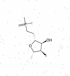 C=P(C)(C)CC[C@H]1O[C@@H](C)[C@H](I)[C@@H]1O